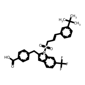 CC(C)(C)c1cccc(C=CCS(=O)(=O)n2c(Cc3ccc(C(=O)O)cc3)cc3ccc(C(F)(F)F)cc32)c1